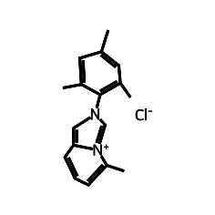 Cc1cc(C)c(-n2cc3cccc(C)[n+]3c2)c(C)c1.[Cl-]